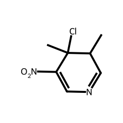 CC1C=NC=C([N+](=O)[O-])C1(C)Cl